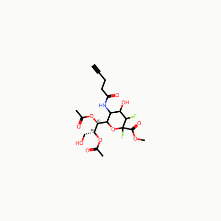 C#CCCC(=O)NC1C(O)C(F)C(F)(C(=O)OC)OC1[C@H](OC(C)=O)[C@@H](CO)OC(C)=O